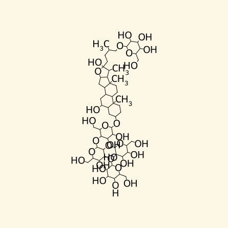 CC(CCC1(O)OC2CC3C4CC(O)C5CC(OC6OC(CO)C(OC7OC(CO)C(O)C(OC8OC(CO)C(O)C(O)C8O)C7OC7OC(CO)C(O)C(O)C7O)C(O)C6O)CCC5(C)C4CCC3(C)C2C1C)COC1OC(CO)C(O)C(O)C1O